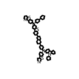 c1ccc(-c2ccc(N(c3ccc4c(c3)sc3cc(-c5ccc6cc(-c7ccc(N(c8ccc9c(c8)sc8cnccc89)c8ccc9c%10ccccc%10n(-c%10ccccc%10)c9c8)cc7)ccc6c5)ccc34)c3ccc4c(c3)sc3cccnc34)cc2)cc1